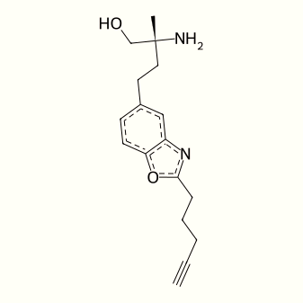 C#CCCCc1nc2cc(CC[C@@](C)(N)CO)ccc2o1